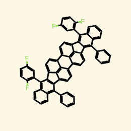 Fc1ccc(F)c(-c2c3c(c(-c4ccccc4)c4ccccc24)-c2ccc4c5ccc6c7c(ccc(c8ccc-3c2c48)c75)-c2c-6c(-c3ccccc3)c3ccccc3c2-c2cc(F)ccc2F)c1